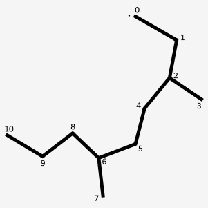 [CH2]CC(C)CCC(C)CCC